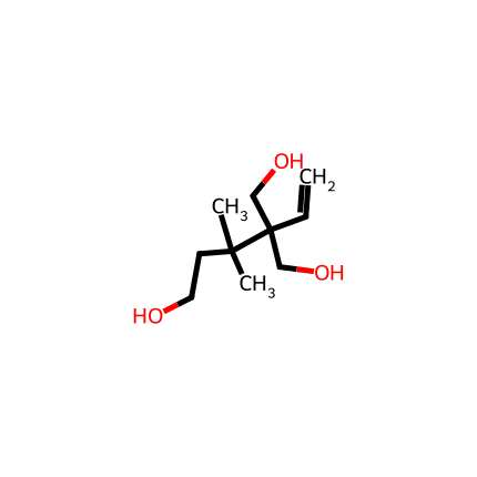 C=CC(CO)(CO)C(C)(C)CCO